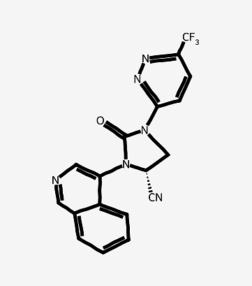 N#C[C@H]1CN(c2ccc(C(F)(F)F)nn2)C(=O)N1c1cncc2ccccc12